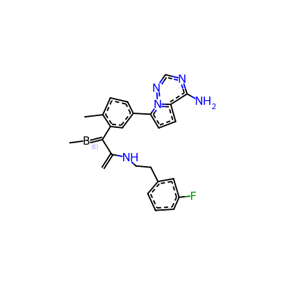 C=C(NCCc1cccc(F)c1)/C(=B/C)c1cc(-c2ccc3c(N)ncnn23)ccc1C